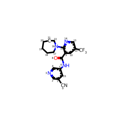 N#Cc1cncc(NC(=O)c2cc(C(F)(F)F)cnc2N2CCCCCC2)c1